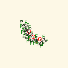 F[C](F)C(F)(OC(F)(F)C(F)(OC(F)(F)C(F)(OC(F)(F)C(F)(F)C(F)(F)F)C(F)(F)F)C(F)(F)F)C(F)(F)F